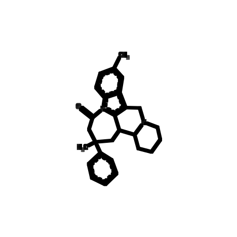 Cc1ccc2c(c1)c1c3n2C(=O)CC(C)(c2ccccc2)CC3C2CCCCN2C1